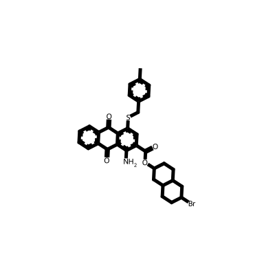 Cc1ccc(CSc2cc(C(=O)OC3CCC4CC(Br)CCC4C3)c(N)c3c2C(=O)c2ccccc2C3=O)cc1